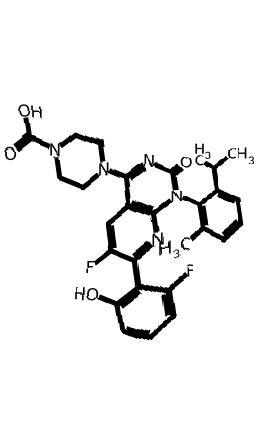 Cc1cccc(C(C)C)c1-n1c(=O)nc(N2CCN(C(=O)O)CC2)c2cc(F)c(-c3c(O)cccc3F)nc21